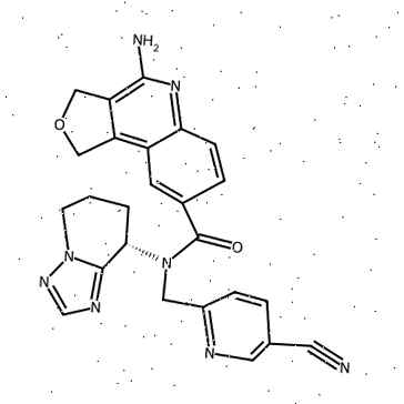 N#Cc1ccc(CN(C(=O)c2ccc3nc(N)c4c(c3c2)COC4)[C@H]2CCCn3ncnc32)nc1